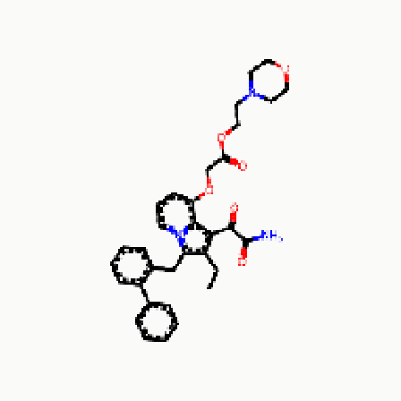 CCc1c(C(=O)C(N)=O)c2c(OCC(=O)OCCN3CCOCC3)cccn2c1Cc1ccccc1-c1ccccc1